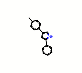 Cc1ccc(-c2c[nH]c(-c3ccccc3)c2)cc1